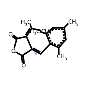 CC(C)=C1C(=O)OC(=O)/C1=C/c1c(C)cc(C)cc1C